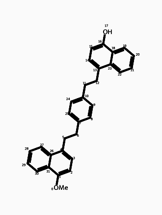 COc1ccc(CCc2ccc(CCc3ccc(O)c4ccccc34)cc2)c2ccccc12